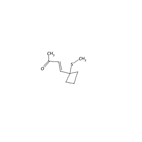 CSC1(C=CC(C)=O)CCC1